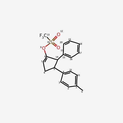 Cc1ccc(C2CC=C(OS(=O)(=O)C(F)(F)F)C2c2ccccc2)cc1